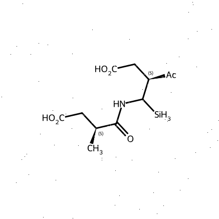 CC(=O)[C@H](CC(=O)O)C([SiH3])NC(=O)[C@@H](C)CC(=O)O